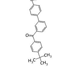 CC(C)(C)c1ccc(C(=O)c2cccc(-c3ccc(O)cc3)c2)cc1